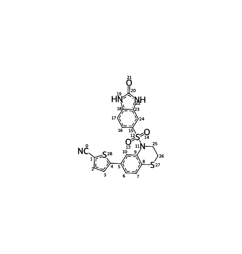 N#Cc1ccc(-c2ccc3c(c2)N(S(=O)(=O)c2ccc4[nH]c(=O)[nH]c4c2)CCS3)s1